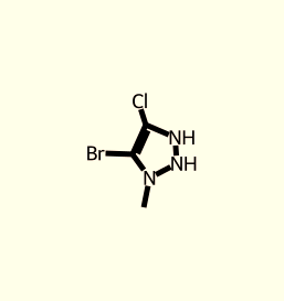 CN1NNC(Cl)=C1Br